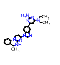 CCN(CC)c1cc(-c2ccc3c(c2)ncn3-c2ccnc(N[C@@H](C)c3ccccc3)n2)nc(N)n1